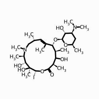 C/C1=C\[C@@H](C)CN(C)[C@H](C)[C@@H](O)[C@](C)(O)[C@@H](I)OC(=O)[C@H](C)C(O)[C@H](C)[C@H]1O[C@@H]1O[C@H](C)C[C@H](N(C)C)[C@H]1O